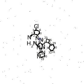 N#Cc1cc(Cl)ccc1/N=N/c1c(N)nc(-c2cnccn2)nc1C1CCC1c1ccccc1